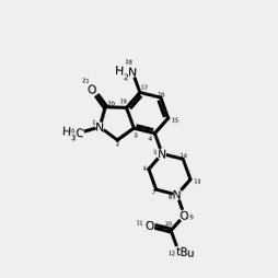 CN1Cc2c(N3CCN(OC(=O)C(C)(C)C)CC3)ccc(N)c2C1=O